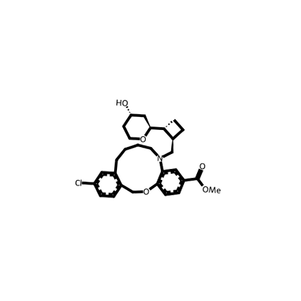 COC(=O)c1ccc2c(c1)N(C[C@@H]1CC[C@H]1[C@@H]1C[C@@H](O)CCO1)CCCCc1cc(Cl)ccc1CO2